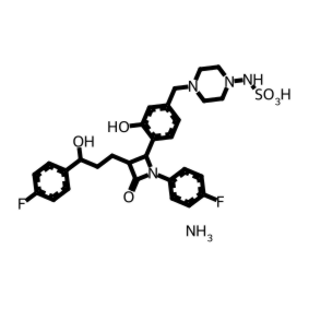 N.O=C1C(CCC(O)c2ccc(F)cc2)C(c2ccc(CN3CCN(NS(=O)(=O)O)CC3)cc2O)N1c1ccc(F)cc1